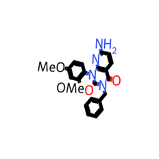 COc1ccc(-n2c(=O)n(Cc3ccccc3)c(=O)c3ccc(N)nc32)c(OC)c1